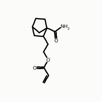 C=CC(=O)OCCC1CC2CCC1(C(N)=O)C2